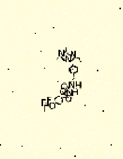 CCc1nc2c(C)nc(C)cn2c1-c1ccc(CCNC(=O)NS(=O)(=O)c2ccc(OC(F)(F)F)cc2)cc1